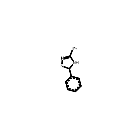 CC(C)C1=NNC(c2ccccc2)N1